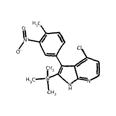 Cc1ccc(-c2c([Si](C)(C)C)[nH]c3nccc(Cl)c23)cc1[N+](=O)[O-]